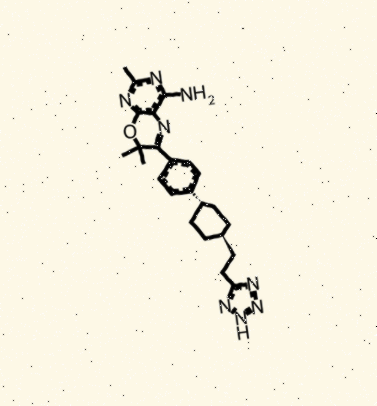 Cc1nc(N)c2c(n1)OC(C)(C)C(c1ccc([C@H]3CC[C@H](CCc4nn[nH]n4)CC3)cc1)=N2